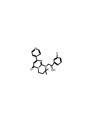 CC1(C)CCn2c(nc(-c3ccncc3)cc2=O)N1C[C@H](O)c1cccc(F)c1